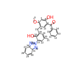 COc1cc(O)c(C(=O)c2ccccc2)cc1Cc1cc(C)cc(-n2nc3ccccc3n2)c1O